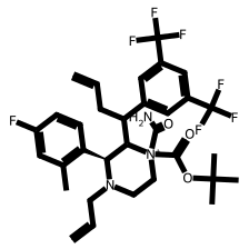 C=CCC(c1cc(C(F)(F)F)cc(C(F)(F)F)c1)C1[C@H](c2ccc(F)cc2C)N(CC=C)CC[N+]1(C(N)=O)C(=O)OC(C)(C)C